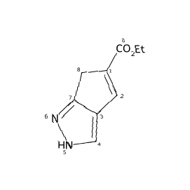 CCOC(=O)C1=Cc2c[nH]nc2C1